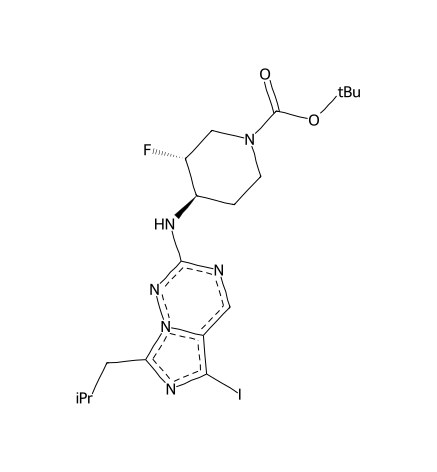 CC(C)Cc1nc(I)c2cnc(N[C@@H]3CCN(C(=O)OC(C)(C)C)C[C@H]3F)nn12